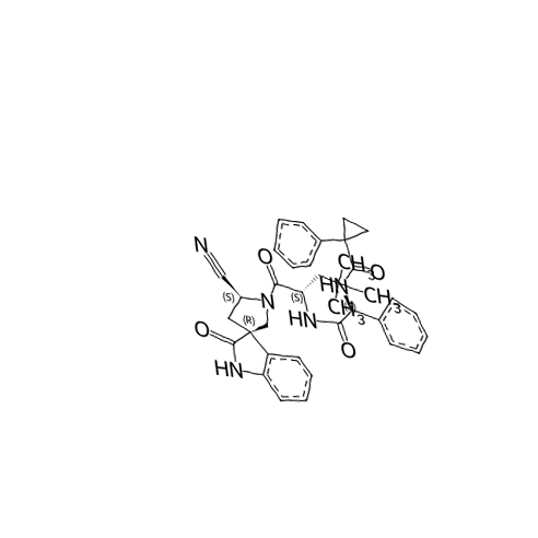 CC(C)(C)C[C@H](NC(=O)[C@@H](NC(=O)C1(c2ccccc2)CC1)c1ccccc1)C(=O)N1C[C@]2(C[C@H]1C#N)C(=O)Nc1ccccc12